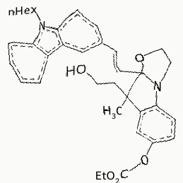 CCCCCCn1c2ccccc2c2cc(C=CC34OCCN3c3ccc(OC(=O)OCC)cc3C4(C)CCO)ccc21